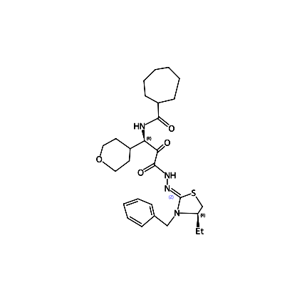 CC[C@@H]1CS/C(=N\NC(=O)C(=O)[C@H](NC(=O)C2CCCCCC2)C2CCOCC2)N1Cc1ccccc1